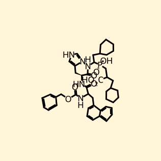 O=C(NC(Cc1cccc2ccccc12)C(=O)N[C@@H](Cc1c[nH]cn1)C(=O)NC(CC1CCCCC1)P(=O)(O)CC(CC1CCCCC1)C(=O)O)OCc1ccccc1